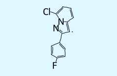 Fc1ccc(-c2[c]c3cccc(Cl)n3n2)cc1